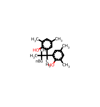 CCCCC(C)(C)C(C)(c1cc(C)cc(C)c1O)c1cc(C)cc(C)c1O